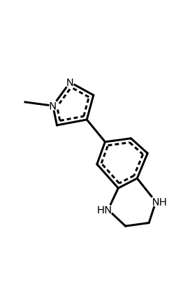 Cn1cc(-c2ccc3c(c2)NCCN3)cn1